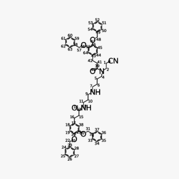 N#CCCN(CCCCNCCCNC(=O)CCc1ccc(OCc2ccccc2)c(OCc2ccccc2)c1)C(=O)CCc1ccc(OCc2ccccc2)c(OCc2ccccc2)c1